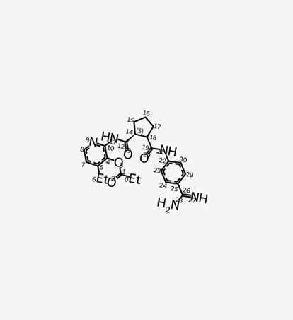 CCC(=O)Oc1c(CC)ccnc1NC(=O)[C@H]1CCCC1C(=O)Nc1ccc(C(=N)N)cc1